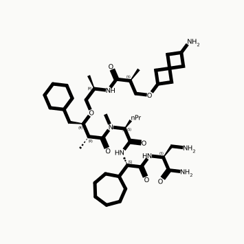 CCC[C@@H](C(=O)N[C@H](C(=O)N[C@@H](CN)C(N)=O)C1CCCCCC1)N(C)C(=O)[C@H](C)[C@@H](CC1CCCCC1)OC[C@@H](C)NC(=O)[C@@H](C)COC1CC2(CC(N)C2)C1